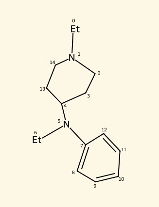 CCN1CCC(N(CC)c2ccccc2)CC1